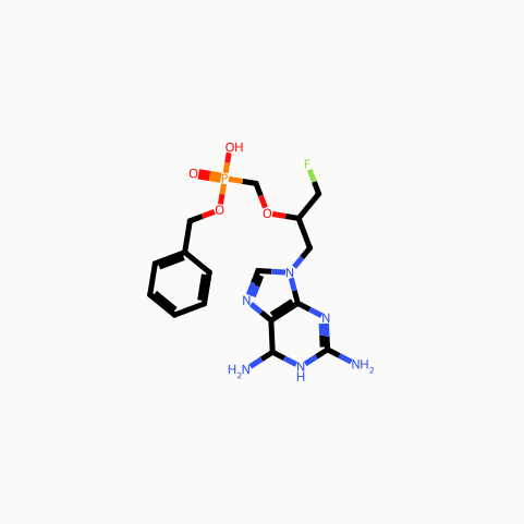 NC1=Nc2c(ncn2CC(CF)OCP(=O)(O)OCc2ccccc2)C(N)N1